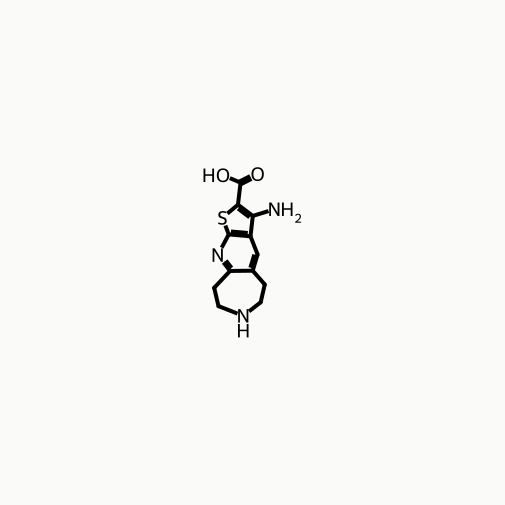 Nc1c(C(=O)O)sc2nc3c(cc12)CCNCC3